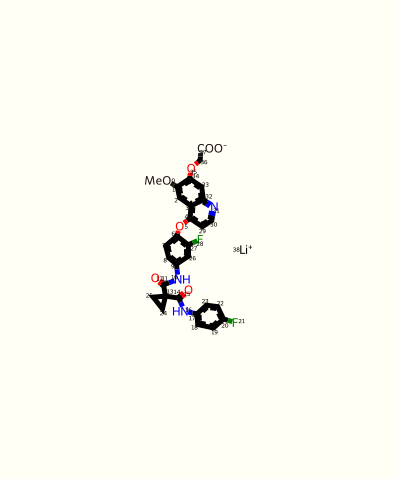 COc1cc2c(Oc3ccc(NC(=O)C4(C(=O)Nc5ccc(F)cc5)CC4)cc3F)ccnc2cc1OCC(=O)[O-].[Li+]